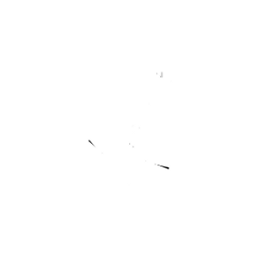 CCN1[C@@H]2CC[C@H]1CC(S(N)(=O)=O)C2